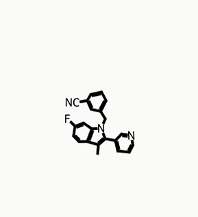 Cc1c(-c2cccnc2)n(Cc2cccc(C#N)c2)c2cc(F)ccc12